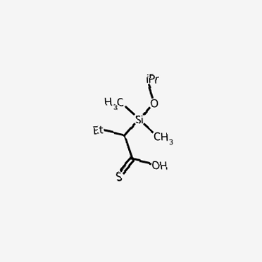 CCC(C(O)=S)[Si](C)(C)OC(C)C